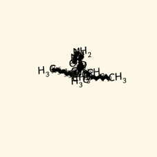 CCCCCCCC[Si](C)(C)OC[C@H]1O[C@@H](n2cnc(N)nc2=O)C[C@@H]1O[Si](C)(C)CCCCCCCC